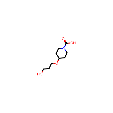 O=C(O)N1CCC(OCCCO)CC1